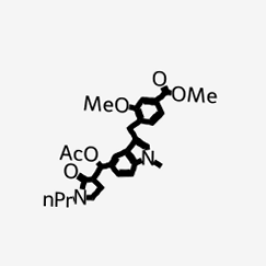 CCCN1CCC(C(OC(C)=O)c2ccc3c(c2)c(Cc2ccc(C(=O)OC)cc2OC)cn3C)C1=O